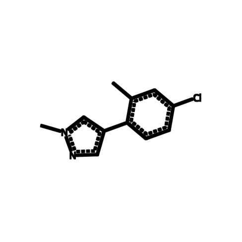 Cc1cc(Cl)ccc1-c1cnn(C)c1